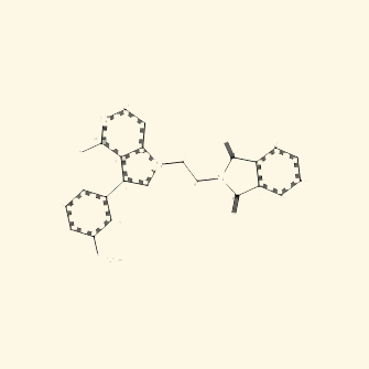 COc1cccc(-c2cn(CCN3C(=O)c4ccccc4C3=O)c3ccnc(Cl)c23)c1